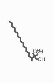 CCCCCCCCCCCCCCCC(C)C(CO)(CO)CO